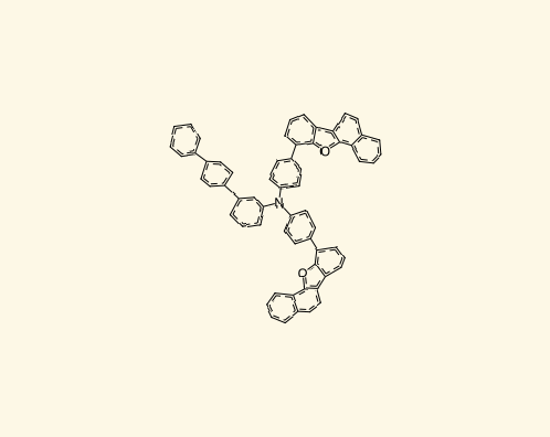 c1ccc(-c2ccc(-c3cccc(N(c4ccc(-c5cccc6c5oc5c7ccccc7ccc65)cc4)c4ccc(-c5cccc6c5oc5c7ccccc7ccc65)cc4)c3)cc2)cc1